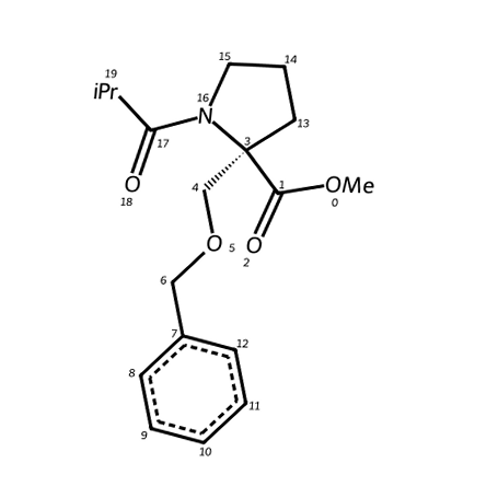 COC(=O)[C@]1(COCc2ccccc2)CCCN1C(=O)C(C)C